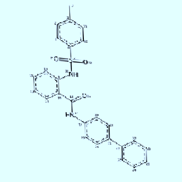 Cc1ccc(S(=O)(=O)Nc2ccccc2C(=O)Nc2ccc(-c3ccccc3)cc2)cc1